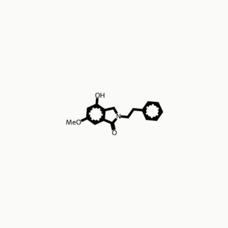 COc1cc(O)c2c(c1)C(=O)N(CCc1ccccc1)C2